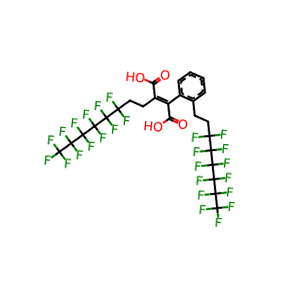 O=C(O)C(CCC(F)(F)C(F)(F)C(F)(F)C(F)(F)C(F)(F)C(F)(F)F)=C(C(=O)O)c1ccccc1CCC(F)(F)C(F)(F)C(F)(F)C(F)(F)C(F)(F)C(F)(F)F